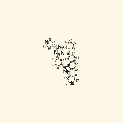 c1ccc(-c2nc(-c3ccncc3)nc(-c3cccc(-c4nn(-c5ccncc5)c5ccc6ccccc6c45)c3)n2)cc1